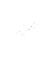 Cc1cnc(C(=O)N2CCc3cc(-c4cnc5[nH]cc(C)c5c4)cc(C4CCCN4)c3C2)cn1